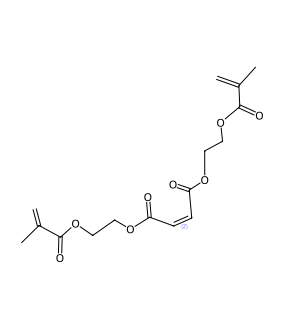 C=C(C)C(=O)OCCOC(=O)/C=C\C(=O)OCCOC(=O)C(=C)C